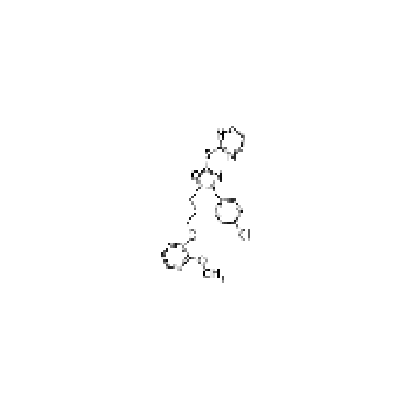 COc1ccccc1OCCCc1oc(Sc2ncccn2)nc1-c1ccc(Cl)cc1